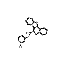 Clc1cccc(CNc2nc3ccncc3c3nc4ccncn4c23)c1